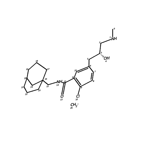 CNC[C@H](O)Cc1ccc(Cl)c(C(=O)NCC23CCCC(CCC2)C3)c1.[CH2]